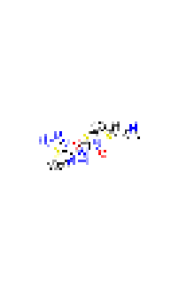 CON=C(C(=O)NC1C(=O)N2CC(CSC=Cc3cccnc3)(C(=O)O)CS[C@H]12)c1csc(N)n1